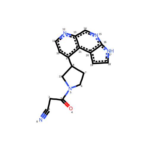 N#CCC(=O)N1CCC(c2ccnc3cnc4[nH]ccc4c23)C1